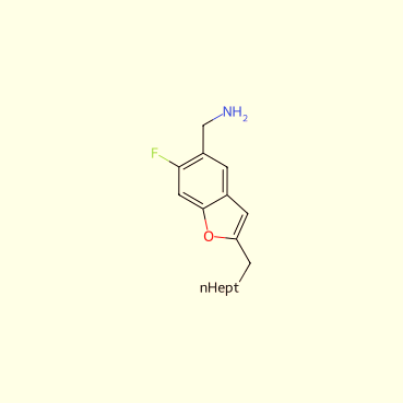 CCCCCCCCc1cc2cc(CN)c(F)cc2o1